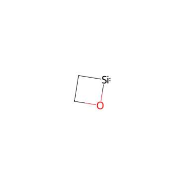 C1C[Si]O1